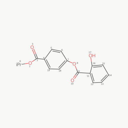 CC(C)OC(=O)c1ccc(OC(=O)c2ccccc2O)cc1